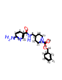 Nc1ccc(C(=O)NCC2CCN(C(=O)OCc3ccccc3)CC2)cn1